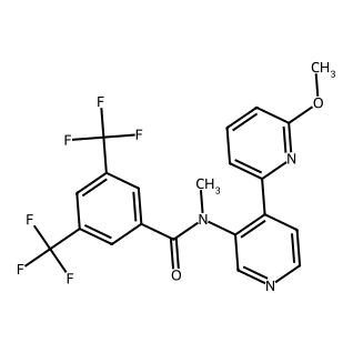 COc1cccc(-c2ccncc2N(C)C(=O)c2cc(C(F)(F)F)cc(C(F)(F)F)c2)n1